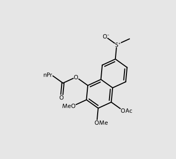 CCCC(=O)Oc1c(OC)c(OC)c(OC(C)=O)c2ccc([S+](C)[O-])cc12